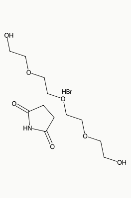 Br.O=C1CCC(=O)N1.OCCOCCOCCOCCO